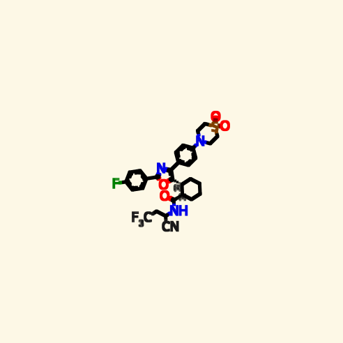 N#CC(CC(F)(F)F)NC(=O)[C@@H]1CCCC[C@H]1c1oc(-c2ccc(F)cc2)nc1-c1ccc(N2CCS(=O)(=O)CC2)cc1